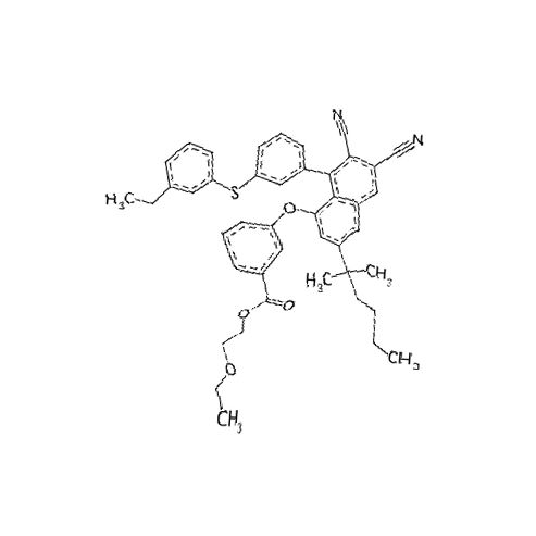 CCCCC(C)(C)c1cc(Oc2cccc(C(=O)OCCOCC)c2)c2c(-c3cccc(Sc4cccc(CC)c4)c3)c(C#N)c(C#N)cc2c1